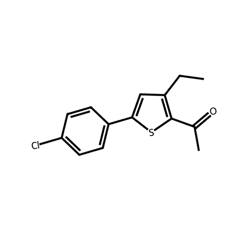 CCc1cc(-c2ccc(Cl)cc2)sc1C(C)=O